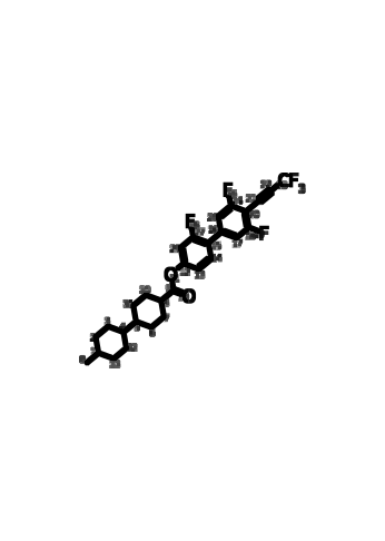 CC1CCC(C2CCC(C(=O)Oc3ccc(-c4cc(F)c(C#CC(F)(F)F)c(F)c4)c(F)c3)CC2)CC1